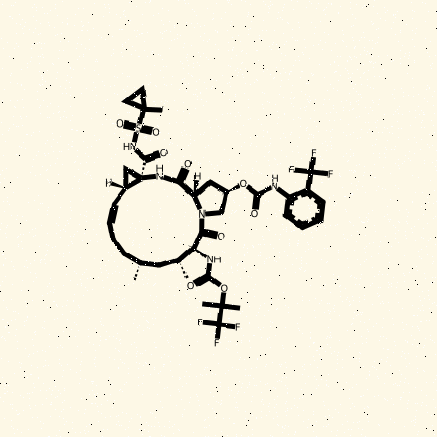 C[C@@H]1CC/C=C\[C@@H]2C[C@@]2(C(=O)NS(=O)(=O)C2(C)CC2)NC(=O)[C@@H]2C[C@@H](OC(=O)Nc3ccccc3C(F)(F)F)CN2C(=O)[C@@H](NC(=O)OC(C)(C)C(F)(F)F)[C@H](C)C1